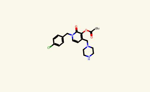 CC(C)(C)C(=O)Oc1c(CN2CCNCC2)ccn(Cc2ccc(Cl)cc2)c1=O